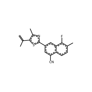 C=C(C)c1sc(-c2cc(C#N)c3ccc(C)c(F)c3c2)nc1C